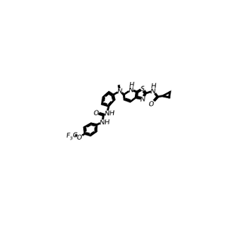 CN(c1cccc(NC(=O)Nc2ccc(OC(F)(F)F)cc2)c1)C1C=Cc2nc(NC(=O)C3CC3)sc2N1